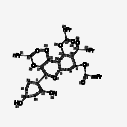 CCCC(=O)Oc1cc2oc(-c3ccc(O)cc3O)c(OC(=O)CCC)c(=O)c2c(OC(=O)CCC)c1C(=O)CCC